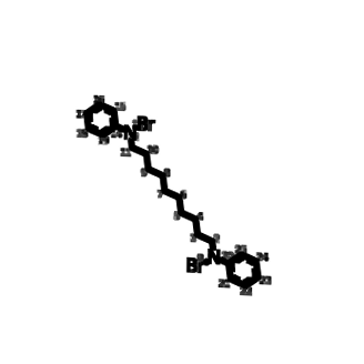 BrN(CCCCCCCCCCN(Br)c1ccccc1)c1ccccc1